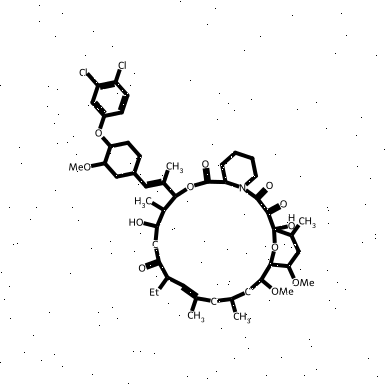 CCC1/C=C(\C)CC(C)CC(OC)C2OC(O)(C(=O)C(=O)N3CCCCC3C(=O)OC(C(C)=CC3CCC(Oc4ccc(Cl)c(Cl)c4)C(OC)C3)C(C)C(O)CC1=O)C(C)CC2OC